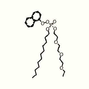 CCCCCCCCCCCCOP(=O)(OCCOCCOCCOCC)OOc1cccc2ccccc12